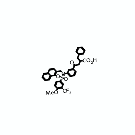 COc1ccc(S(=O)(=O)N(Cc2ccc3ccccc3c2)c2cccc(C(=O)CC(Cc3ccccc3)C(=O)O)c2)cc1C(F)(F)F